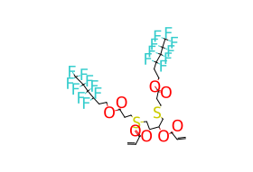 C=CC(=O)OC(CSCCC(=O)OCCC(F)(F)C(F)(F)C(F)(F)C(F)(F)F)C(CSCCC(=O)OCCC(F)(F)C(F)(F)C(F)(F)C(F)(F)F)OC(=O)C=C